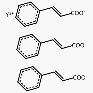 O=C([O-])C=Cc1ccccc1.O=C([O-])C=Cc1ccccc1.O=C([O-])C=Cc1ccccc1.[Y+3]